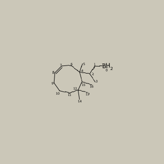 BCC(C)C1(C)CC=CCCCC(C)(C)C1C